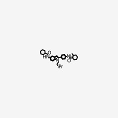 CC(C)CCn1c(-c2ccc(NC(=O)C3CCCCC3C)cc2)cc2cc(NC(=O)C3CCCCC3)ccc21